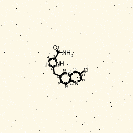 NC(=O)c1cnc(Cc2ccc3ncc(Cl)cc3c2)[nH]1